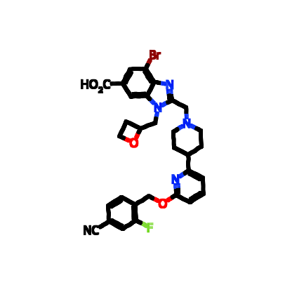 N#Cc1ccc(COc2cccc(C3CCN(Cc4nc5c(Br)cc(C(=O)O)cc5n4CC4CCO4)CC3)n2)c(F)c1